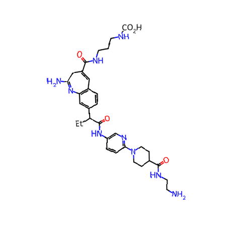 CCC(C(=O)Nc1ccc(N2CCC(C(=O)NCCN)CC2)nc1)c1ccc2c(c1)N=C(N)CC(C(=O)NCCCNC(=O)O)=C2